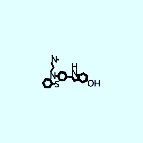 CN(C)CCCN1c2ccccc2Sc2cc(-c3cc4cc(O)ccc4[nH]3)ccc21